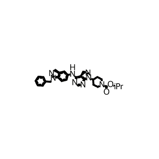 CC(C)OC(=O)N1CCC(n2ncc3c(Nc4ccc5c(cnn5Cc5ccccc5)c4)ncnc32)CC1